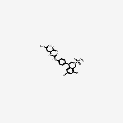 CS(=O)(=O)N1Cc2c(Cl)cc(Cl)cc2C(c2ccc(NC(=O)NC(CC(=O)O)C(=O)O)cc2)C1